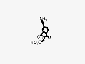 CC#Cc1ccc2c(c1)C(=O)N(CC(=O)O)C2=O